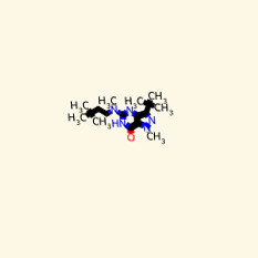 CN(CCC(C)(C)C)c1nc2c(C(C)(C)C)nn(C)c2c(=O)[nH]1